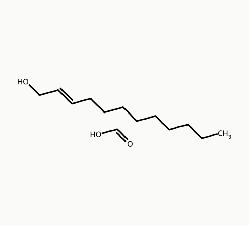 CCCCCCCCC/C=C/CO.O=CO